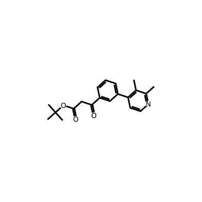 Cc1nccc(-c2cccc(C(=O)CC(=O)OC(C)(C)C)c2)c1C